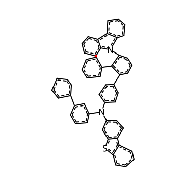 c1ccc(-c2cccc(N(c3ccc(-c4cccc(-n5c6ccccc6c6ccccc65)c4-c4ccccc4)cc3)c3ccc4c(c3)sc3ccccc34)c2)cc1